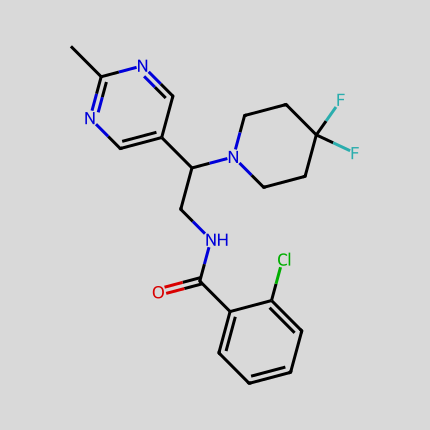 Cc1ncc(C(CNC(=O)c2ccccc2Cl)N2CCC(F)(F)CC2)cn1